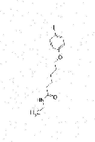 CCNC(=O)CCCCCOc1ccc(I)cc1